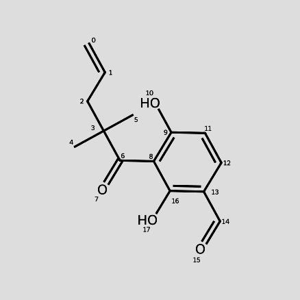 C=CCC(C)(C)C(=O)c1c(O)ccc(C=O)c1O